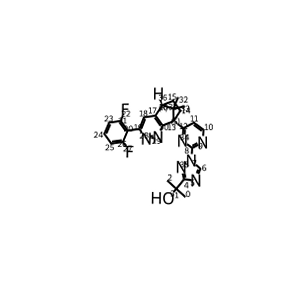 CC(C)(O)c1ncn(-c2nccc([C@@]34CC[C@@H](c5cc(-c6c(F)cccc6F)nnc53)C4(C)C)n2)n1